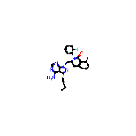 CCC#Cc1nn(Cc2cc3cccc(C)c3c(=O)n2-c2ccccc2F)c2ncnc(N)c12